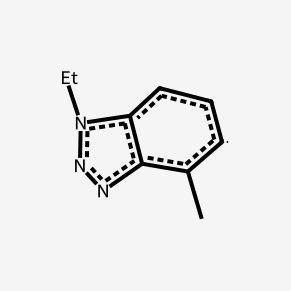 CCn1nnc2c(C)[c]ccc21